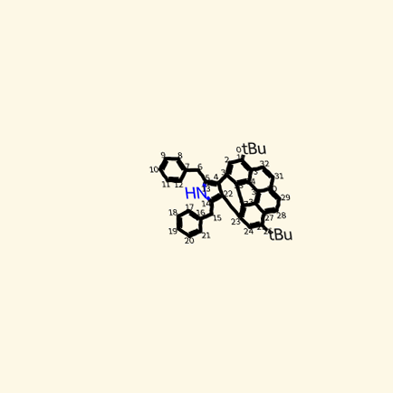 CC(C)(C)c1cc2c3c(Cc4ccccc4)[nH]c(Cc4ccccc4)c3c3cc(C(C)(C)C)c4ccc5ccc1c1c5c4c3c21